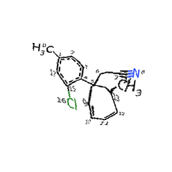 Cc1ccc(C2(CC#N)C=CC=CC2C)c(Cl)c1